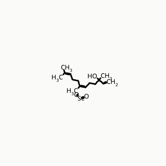 C=CC(C)(O)CCC=C(C)CCC=C(C)C.O=[Se]=O